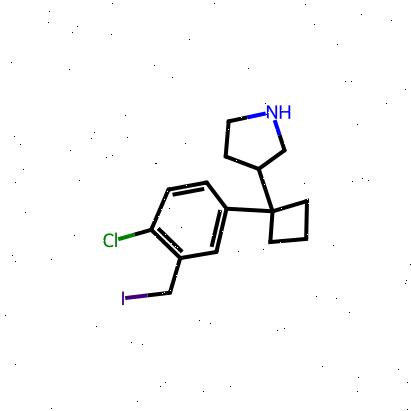 Clc1ccc(C2(C3CCNC3)CCC2)cc1CI